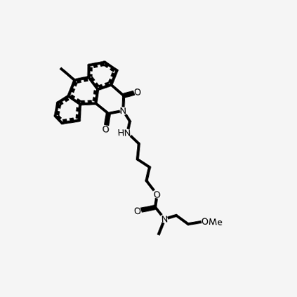 COCCN(C)C(=O)OCCCCNCN1C(=O)c2cccc3c(C)c4ccccc4c(c23)C1=O